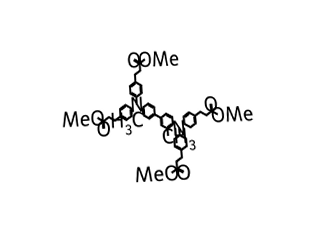 COC(=O)CCC1=CCC(N(c2ccc(-c3ccc(N(c4ccc(CCC(=O)OC)cc4)c4ccc(CCC(=O)OC)cc4)c(C)c3)cc2C)C2CC=C(CCC(=O)OC)CC2)C=C1